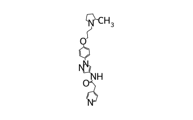 C[C@@H]1CCCN1CCCOc1ccc(-n2cc(NC(=O)Cc3ccncc3)cn2)cc1